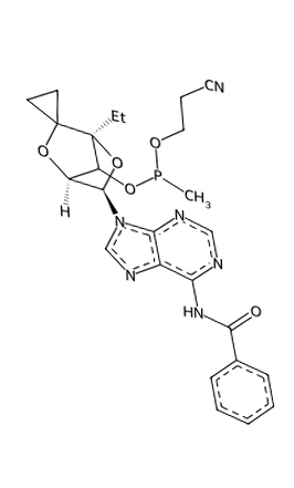 CC[C@@]12O[C@@H](n3cnc4c(NC(=O)c5ccccc5)ncnc43)[C@@H](OC13CC3)C2OP(C)OCCC#N